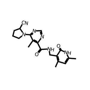 Cc1cc(C)c(CNC(=O)c2ncnc(N3CCCC3C#N)c2C)c(=O)[nH]1